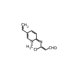 C=Cc1cc/c(=N/C(Cl)=C\C=O)n(C)c1